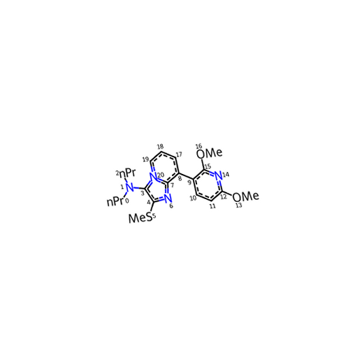 CCCN(CCC)c1c(SC)nc2c(-c3ccc(OC)nc3OC)cccn12